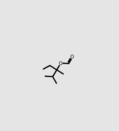 CCC(C)(OC=O)C(C)C